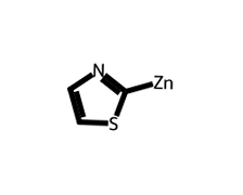 [Zn][c]1nccs1